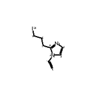 C=Cn1ccnc1CCCI